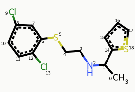 CC(NCCSc1cc(Cl)ccc1Cl)c1cccs1